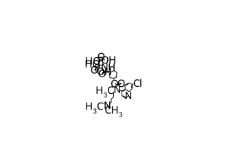 CCN(C)CCCC(C)N(C(=O)OC1CCCC(C(=O)NC(P(=O)(O)O)P(=O)(O)O)C1)c1ccnc2cc(Cl)ccc12